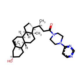 C[C@H](CC(=O)N1CCN(c2ccncn2)CC1)[C@H]1CC[C@H]2[C@@H]3CC=C4C[C@@H](O)CC[C@]4(C)[C@H]3CC[C@]12C